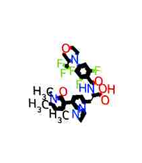 Cc1cc(C)n(C)c(=O)c1-c1ccc(C[C@H](NC(=O)c2c(F)cc(N3CCOC[C@@H]3C(F)(F)F)cc2F)C(=O)O)n2ccnc12